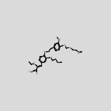 CCCCOc1cc(C=C(OCC)C(=O)O)ccc1OCCc1ccc(OCOCCOC)c(OC)c1